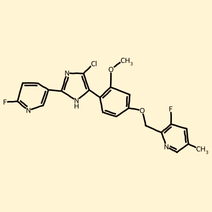 COc1cc(OCc2ncc(C)cc2F)ccc1-c1[nH]c(-c2ccc(F)nc2)nc1Cl